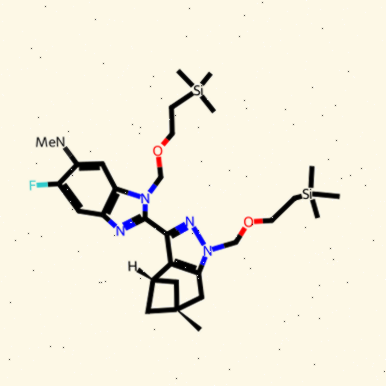 CNc1cc2c(cc1F)nc(-c1nn(COCC[Si](C)(C)C)c3c1[C@H]1C[C@@](C)(C3)C1)n2COCC[Si](C)(C)C